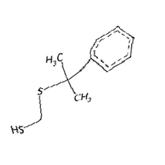 CC(C)(SCS)c1ccccc1